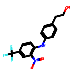 O=[N+]([O-])c1cc(C(F)(F)F)ccc1Nc1ccc(CCO)cc1